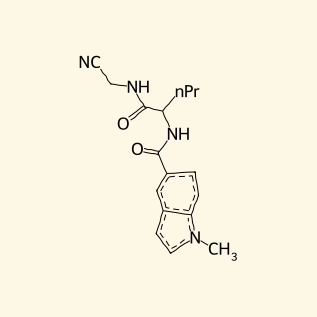 CCCC(NC(=O)c1ccc2c(ccn2C)c1)C(=O)NCC#N